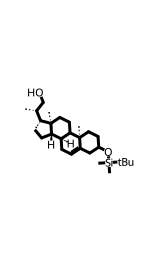 C[C@H](CO)[C@H]1CC[C@H]2[C@@H]3CC=C4CC(O[Si](C)(C)C(C)(C)C)CC[C@]4(C)C3CC[C@]12C